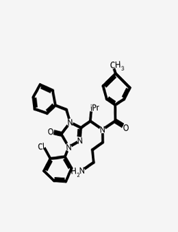 Cc1ccc(C(=O)N(CCCN)C(c2nn(-c3ccccc3Cl)c(=O)n2Cc2ccccc2)C(C)C)cc1